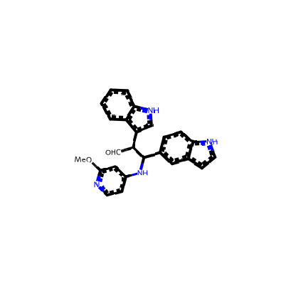 COc1cc(NC(c2ccc3[nH]ccc3c2)C(C=O)c2c[nH]c3ccccc23)ccn1